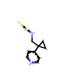 S=C=NCC1(c2ccncc2)CC1